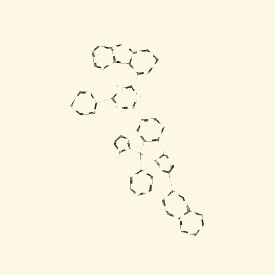 c1ccc(-c2nc(-c3ccc4c(c3)C3(c5ccccc5Oc5ccccc53)c3cc(-c5ccc6ccccc6c5)ccc3-4)nc(-c3cccc4oc5ccccc5c34)n2)cc1